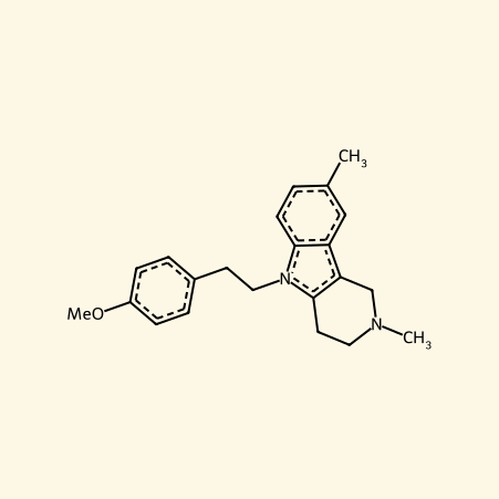 COc1ccc(CCn2c3c(c4cc(C)ccc42)CN(C)CC3)cc1